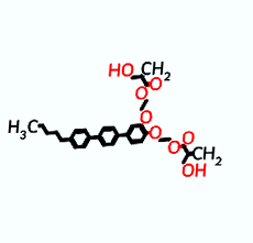 C=C(CO)C(=O)OCCOc1ccc(-c2ccc(-c3ccc(CCCCC)cc3)cc2)cc1OCCOC(=O)C(=C)CO